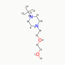 COCCOCCN1CCN(C(C)(C)C)CC1